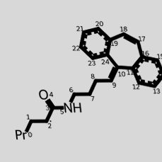 CC(C)C[CH]C(=O)NCCCC=C1c2ccccc2C=Cc2ccccc21